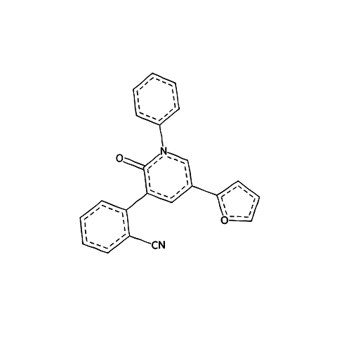 N#Cc1ccccc1-c1cc(-c2ccco2)cn(-c2ccccc2)c1=O